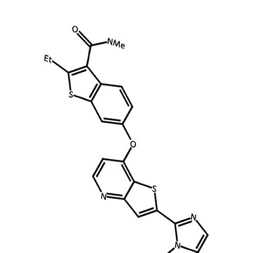 CCc1sc2cc(Oc3ccnc4cc(-c5nccn5C)sc34)ccc2c1C(=O)NC